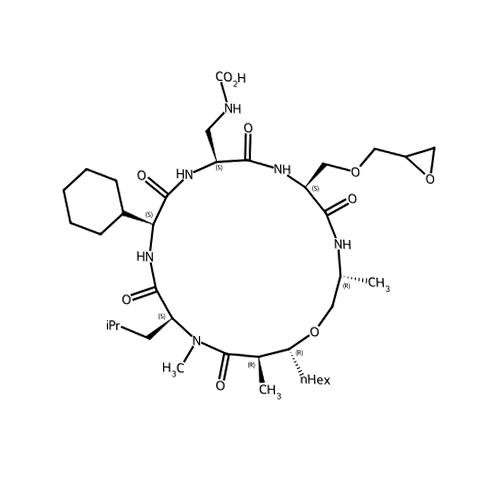 CCCCCC[C@H]1OC[C@@H](C)NC(=O)[C@H](COCC2CO2)NC(=O)[C@H](CNC(=O)O)NC(=O)[C@H](C2CCCCC2)NC(=O)[C@H](CC(C)C)N(C)C(=O)[C@@H]1C